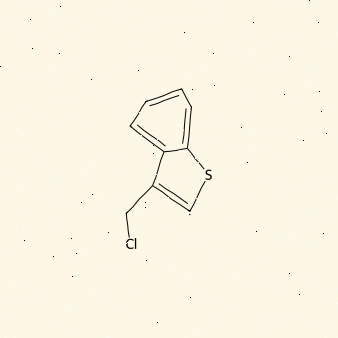 ClCc1[c]sc2ccccc12